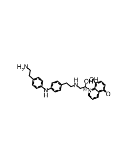 NCCc1ccc(Nc2ccc(CCNC[C@@H](O)n3cccc4c(=O)ccc(O)c3-4)cc2)cc1